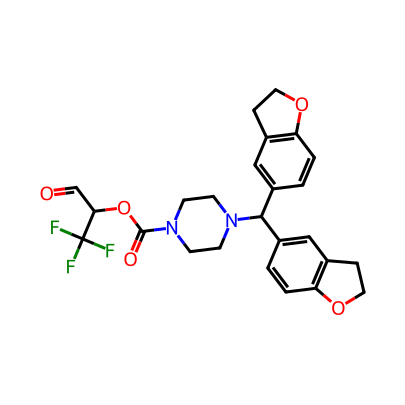 O=CC(OC(=O)N1CCN(C(c2ccc3c(c2)CCO3)c2ccc3c(c2)CCO3)CC1)C(F)(F)F